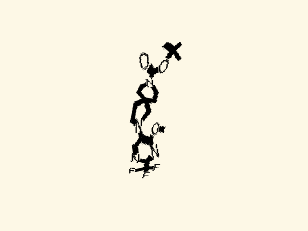 COc1nc(C(F)(F)F)ncc1N1CCC2(CCN(C(=O)OC(C)(C)C)CC2)C1